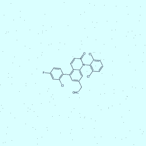 O=CCc1cc(-c2ccc(F)cc2Cl)c2ccc(=O)n(-c3c(Cl)cccc3Cl)c2c1